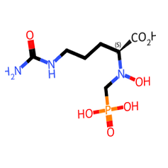 NC(=O)NCCC[C@@H](C(=O)O)N(O)CP(=O)(O)O